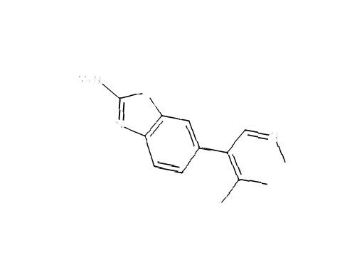 C/N=C\C(=C(C)C)c1ccc2nc(NC)sc2c1